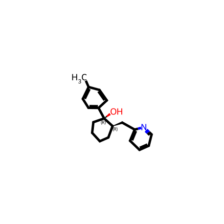 Cc1ccc([C@@]2(O)CCCC[C@@H]2Cc2ccccn2)cc1